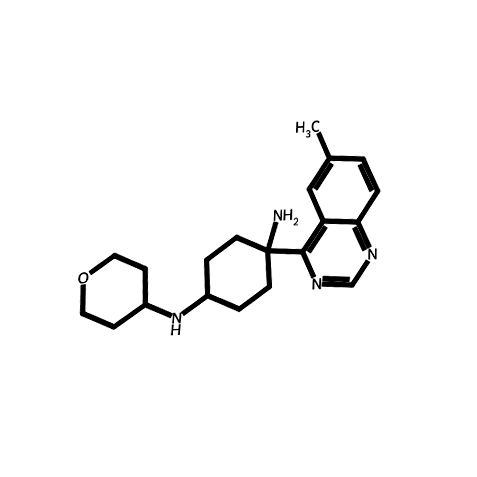 Cc1ccc2ncnc(C3(N)CCC(NC4CCOCC4)CC3)c2c1